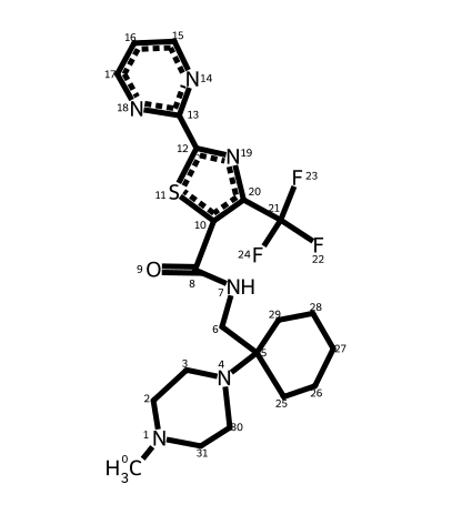 CN1CCN(C2(CNC(=O)c3sc(-c4ncccn4)nc3C(F)(F)F)CCCCC2)CC1